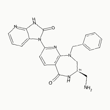 NC[C@@H]1CN(Cc2ccccc2)c2nc(-n3c(=O)[nH]c4ncccc43)ccc2C(=O)N1